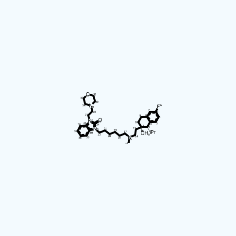 CC(C)[C@H]1c2ccc(F)cc2CC[C@]1(O)CCN(C)CCCCCCn1c(=O)n(CCN2CCOCC2)c2ccccc21